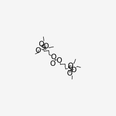 CCO[Si](CCCOC(=O)OCCC[Si](OCC)(OCC)OCC)(OCC)OCC